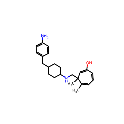 CC1=CC=CC(O)=CC1(C)CNC1CCC(Cc2ccc(N)cc2)CC1